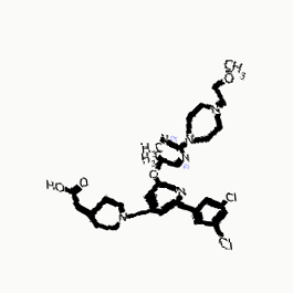 C/N=C(\N=C/C(C)Oc1cc(CN2CCC(CC(=O)O)CC2)cc(-c2cc(Cl)cc(Cl)c2)n1)N1CCN(CCOC)CC1